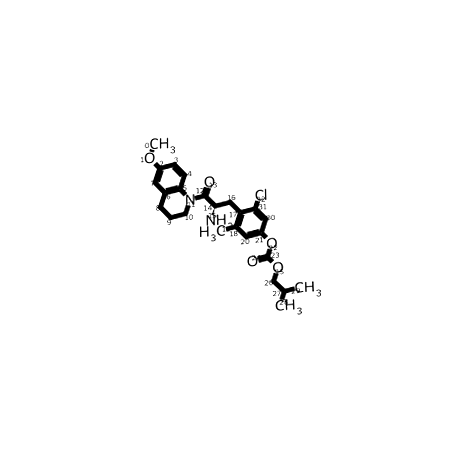 COc1ccc2c(c1)CCCN2C(=O)[C@@H](N)Cc1c(C)cc(OC(=O)OCC(C)C)cc1Cl